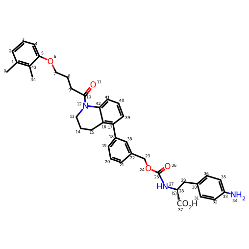 Cc1cccc(OCCCC(=O)N2CCCc3c(-c4cccc(COC(=O)N[C@@H](Cc5ccc(N)cc5)C(=O)O)c4)cccc32)c1C